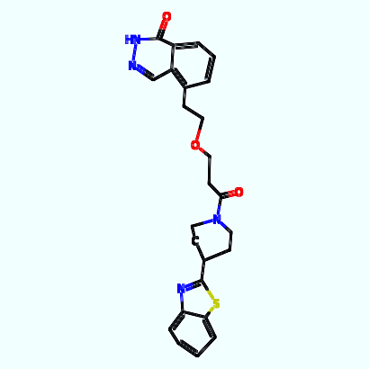 O=C(CCOCCc1cccc2c(=O)[nH]ncc12)N1CCC(c2nc3ccccc3s2)CC1